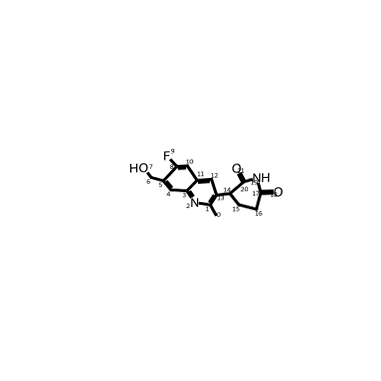 Cc1nc2cc(CO)c(F)cc2cc1C1CCC(=O)NC1=O